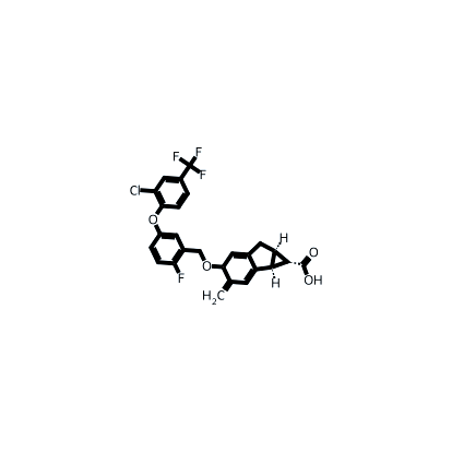 C=C1C=C2C(=CC1OCc1cc(Oc3ccc(C(F)(F)F)cc3Cl)ccc1F)C[C@H]1[C@H](C(=O)O)[C@@H]21